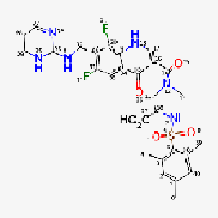 Cc1cc(C)c(S(=O)(=O)NC(CN(C)C(=O)c2c[nH]c3c(F)c(CNC4N=CCCN4)c(F)cc3c2=O)C(=O)O)c(C)c1